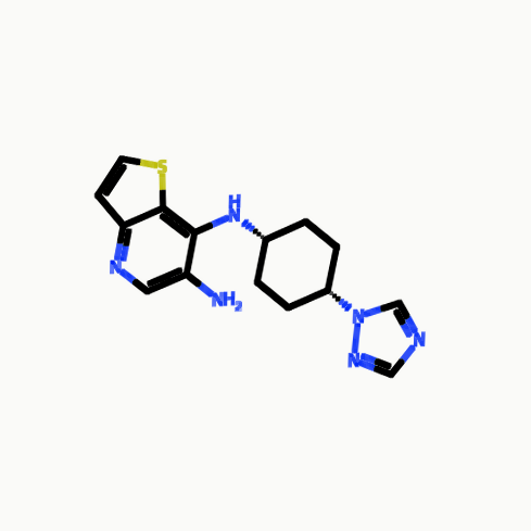 Nc1cnc2ccsc2c1N[C@H]1CC[C@@H](n2cncn2)CC1